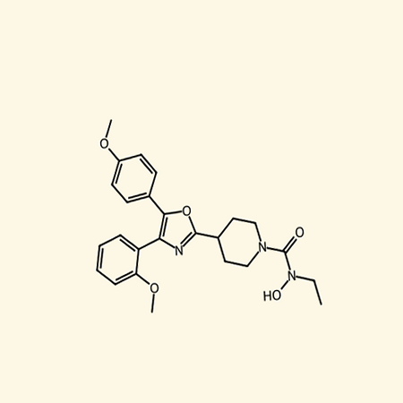 CCN(O)C(=O)N1CCC(c2nc(-c3ccccc3OC)c(-c3ccc(OC)cc3)o2)CC1